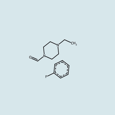 CCN1CCN(C=O)CC1.Fc1ccccc1